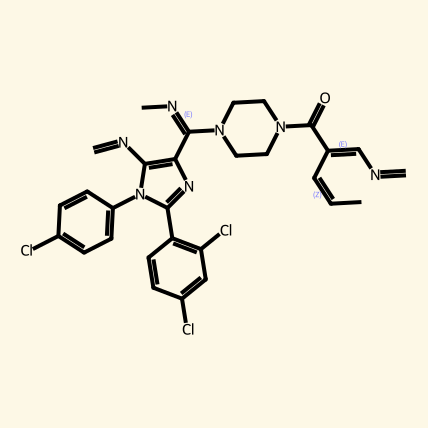 C=N/C=C(\C=C/C)C(=O)N1CCN(/C(=N/C)c2nc(-c3ccc(Cl)cc3Cl)n(-c3ccc(Cl)cc3)c2N=C)CC1